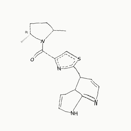 CC1CC[C@@H](C)N1C(=O)c1csc(C2C=CN=C3NC=CC32)n1